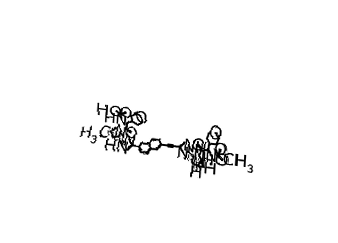 COC(=O)NC(C(=O)N1[C@@H]2C[C@@H]2C[C@H]1c1nc(C#Cc2ccc3cc(-c4c[nH]c([C@@H]5C[C@H](C)CN5C(=O)C(NC(=O)O)C5CCOCC5)n4)ccc3c2)c[nH]1)C1CCOCC1